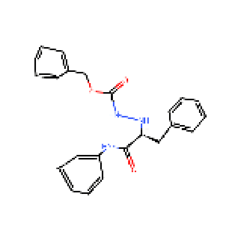 O=C(NN[C@@H](Cc1ccccc1)C(=O)Nc1c[c]ccc1)OCc1ccccc1